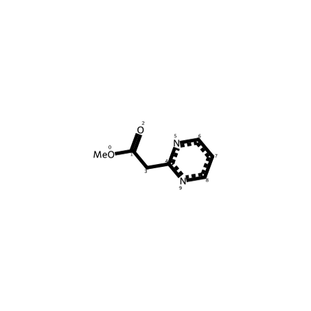 COC(=O)Cc1ncccn1